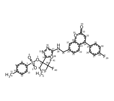 CCC(OS(=O)(=O)c1ccc(C)cc1)(c1nnc(NCc2ccc3c(-c4ccc(F)cc4)cc(=O)oc3c2)o1)C(F)(F)F